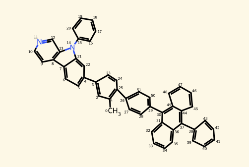 Cc1cc(-c2ccc3c4ccncc4n(-c4ccccc4)c3c2)ccc1-c1ccc(-c2c3ccccc3c(-c3ccccc3)c3ccccc23)cc1